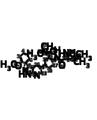 COc1ccccc1-c1n[nH]c2ncc(-c3ccc(NC(=O)[C@H](N)CC(C)(C)C)c(C(=O)N(C)C)c3)cc12